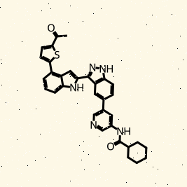 CC(=O)c1ccc(-c2cccc3[nH]c(-c4n[nH]c5ccc(-c6cncc(NC(=O)C7CCCCC7)c6)cc45)cc23)s1